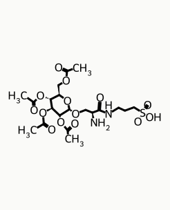 CC(=O)OC[C@H]1O[C@@H](OC[C@H](N)C(=O)NCCCS(=O)(=O)O)[C@H](OC(C)=O)[C@@H](OC(C)=O)[C@@H]1OC(C)=O